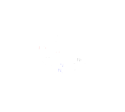 Cc1cccc(C(=O)C(O)c2ccccc2)c1Cn1nc(C)c2ccc([N+](=O)[O-])cc21